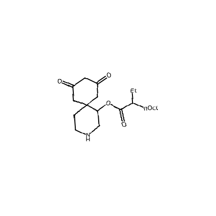 CCCCCCCCC(CC)C(=O)OC1CNCCC12CC(=O)CC(=O)C2